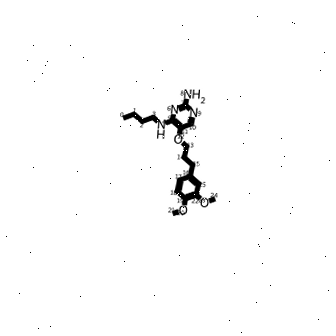 CCCCNc1nc(N)ncc1OCCCc1ccc(OC)c(OC)c1